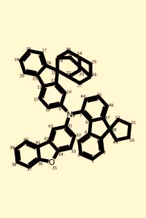 c1ccc2c(c1)-c1c(N(c3ccc4c(c3)C3(c5ccccc5-4)C4CC5CC(C4)CC3C5)c3ccc4oc5ccccc5c4c3)cccc1C21CCCC1